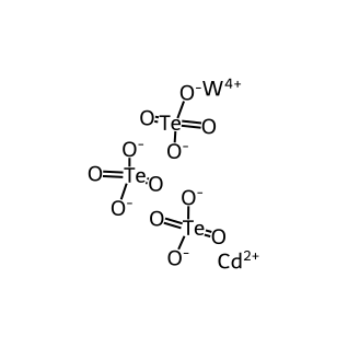 O=[Te](=O)([O-])[O-].O=[Te](=O)([O-])[O-].O=[Te](=O)([O-])[O-].[Cd+2].[W+4]